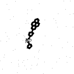 c1ccc(-c2nnc(-c3ccc(-c4cc5ccc6cccc7ccc(c4)c5c67)cc3)o2)cc1